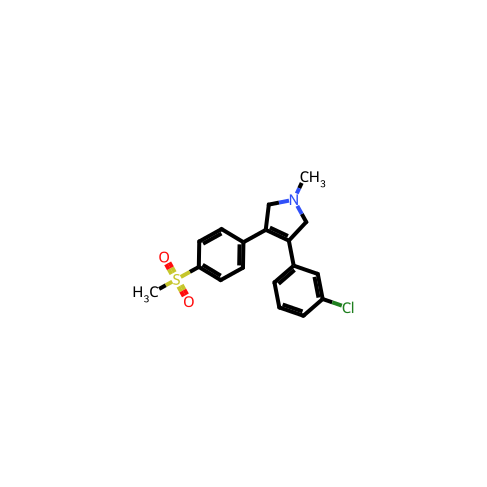 CN1CC(c2ccc(S(C)(=O)=O)cc2)=C(c2cccc(Cl)c2)C1